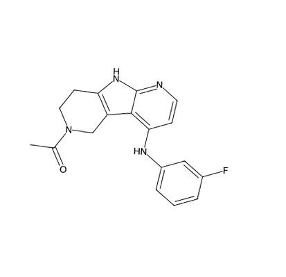 CC(=O)N1CCc2[nH]c3nccc(Nc4cccc(F)c4)c3c2C1